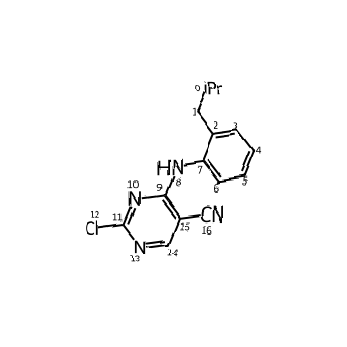 CC(C)Cc1ccccc1Nc1nc(Cl)ncc1C#N